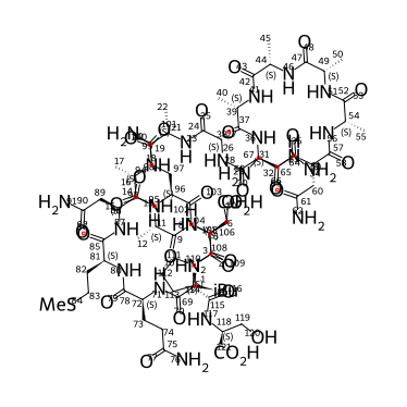 CC[C@H](C)[C@H](NC(=O)[C@H](CC(=O)O)NC(=O)[C@H](C)NC(=O)[C@H](C)NC(=O)[C@H](C)NC(=O)[C@H](C)NC(=O)[C@H](CC(N)=O)NC(=O)[C@H](C)NC(=O)[C@H](C)NC(=O)[C@H](C)NC(=O)[C@H](C)NC(=O)[C@H](CC(N)=O)NC(=O)CN)C(=O)N[C@@H](CCC(N)=O)C(=O)N[C@@H](CCSC)C(=O)N[C@@H](CC(N)=O)C(=O)N[C@@H](CCC(N)=O)C(=O)N[C@@H](CO)C(=O)N1CCC[C@H]1C(=O)N[C@@H](CO)C(=O)O